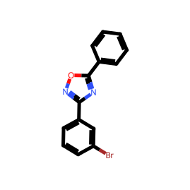 Brc1cccc(-c2noc(-c3ccccc3)n2)c1